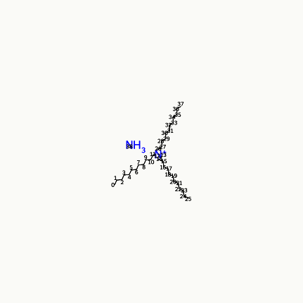 CCCCCCCCCCCC[N+](C)(CCCCCCCCCCCC)CCCCCCCCCCCC.N